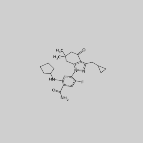 CC1(C)CC(=O)c2c(CC3CC3)nn(-c3cc(NC4CCCC4)c(C(N)=O)cc3F)c2C1